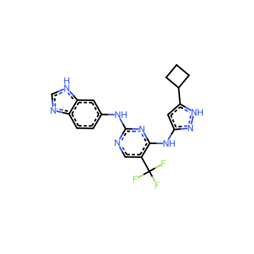 FC(F)(F)c1cnc(Nc2ccc3nc[nH]c3c2)nc1Nc1cc(C2CCC2)[nH]n1